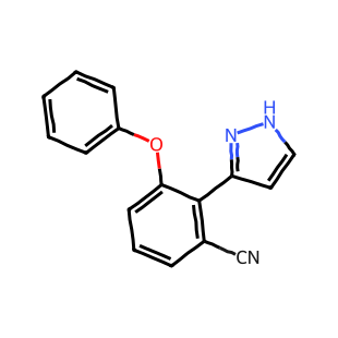 N#Cc1cccc(Oc2ccccc2)c1-c1cc[nH]n1